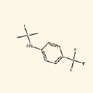 CC(C)(C)Nc1[c]cc(C(F)(F)F)cc1